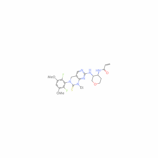 C=CC(=O)N[C@H]1CCOC[C@H]1Nc1ncc2c(n1)N(CC)C(=S)N(c1c(F)c(OC)cc(OC)c1F)C2